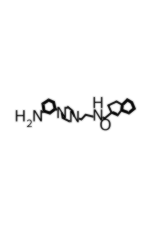 Nc1cccc(N2CCN(CCCNC(=O)C3=Cc4ccccc4CC3)CC2)c1